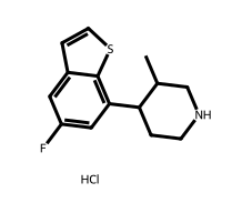 CC1CNCCC1c1cc(F)cc2ccsc12.Cl